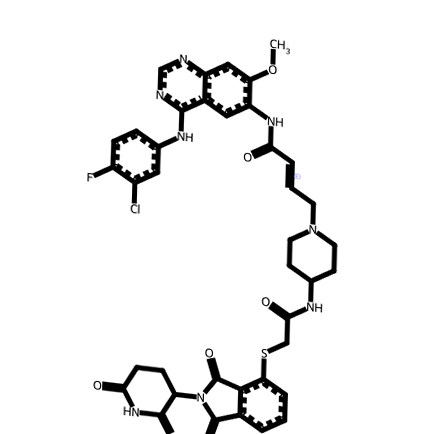 COc1cc2ncnc(Nc3ccc(F)c(Cl)c3)c2cc1NC(=O)/C=C/CN1CCC(NC(=O)CSc2cccc3c2C(=O)N(C2CCC(=O)NC2=O)C3=O)CC1